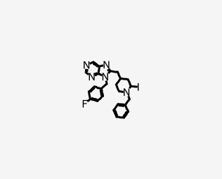 Fc1ccc(Cn2c(CC3CCN(Cc4ccccc4)C(I)C3)nc3cncnc32)cc1